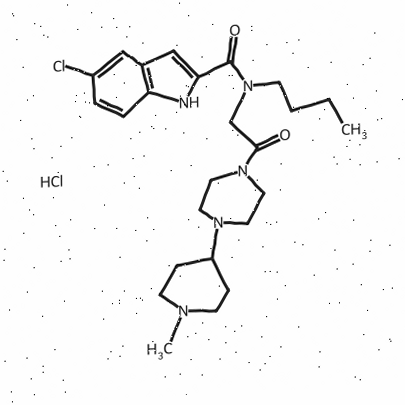 CCCCN(CC(=O)N1CCN(C2CCN(C)CC2)CC1)C(=O)c1cc2cc(Cl)ccc2[nH]1.Cl